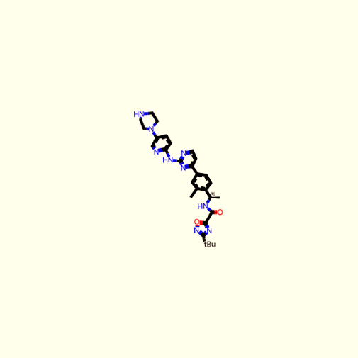 Cc1cc(-c2ccnc(Nc3ccc(N4CCNCC4)cn3)n2)ccc1[C@@H](C)NC(=O)c1nc(C(C)(C)C)no1